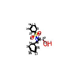 Cc1ccc(S(=O)(=O)N2[C@H](CO)[C@H]2c2ccccc2)cc1